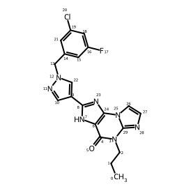 CCCn1c(=O)c2[nH]c(-c3cnn(Cc4cc(F)cc(Cl)c4)c3)nc2n2ccnc12